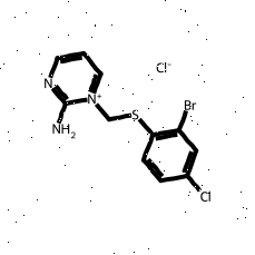 Nc1nccc[n+]1CSc1ccc(Cl)cc1Br.[Cl-]